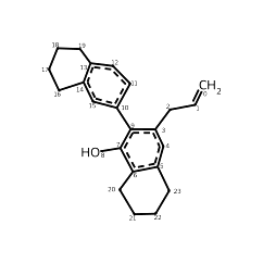 C=CCc1cc2c(c(O)c1-c1ccc3c(c1)CCCC3)CCCC2